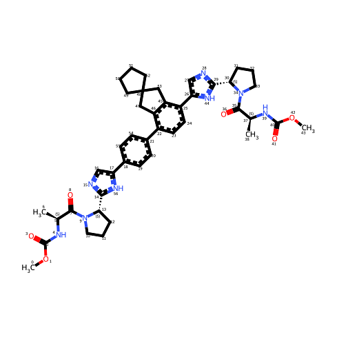 COC(=O)N[C@@H](C)C(=O)N1CCC[C@H]1c1ncc(-c2ccc(-c3ccc(-c4cnc([C@@H]5CCCN5C(=O)[C@H](C)NC(=O)OC)[nH]4)c4c3CC3(CCCC3)C4)cc2)[nH]1